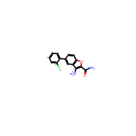 NC(=O)c1oc2ccc(-c3ccccc3Cl)cc2c1N